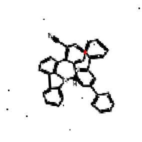 N#Cc1cccc(C#N)c1-c1cccc2c3ccccc3n(-c3cc(-c4ccccc4)cc(-c4ccccc4)n3)c12